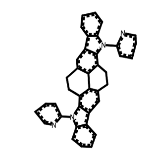 c1ccc(-n2c3ccccc3c3cc4c5c(c32)CCc2cc3c6ccccc6n(-c6ccccn6)c3c(c2-5)CC4)nc1